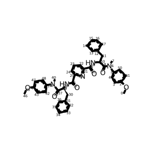 COc1ccc(N(C)C(=O)C(Cc2ccccc2)NC(=O)c2cccc(C(=O)N[C@@H](Cc3ccccc3)C(=O)N(C)c3ccc(OC)cc3)n2)cc1